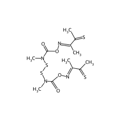 CC(=S)C(C)=NOC(=O)N(C)SSN(C)C(=O)ON=C(C)C(C)=S